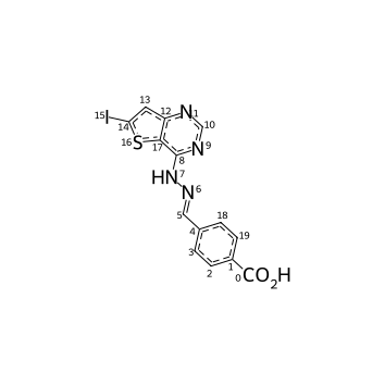 O=C(O)c1ccc(C=NNc2ncnc3cc(I)sc23)cc1